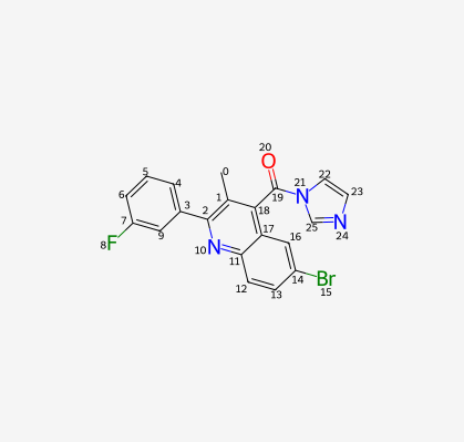 Cc1c(-c2cccc(F)c2)nc2ccc(Br)cc2c1C(=O)n1ccnc1